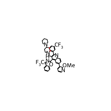 COc1ncccc1-c1ccc2nc(-c3cccc(C(F)(F)F)c3)c(CN3CCC(N4CCCCC4)CC3)c(C(=O)N[C@H](c3ccccc3)C(F)(F)F)c2c1